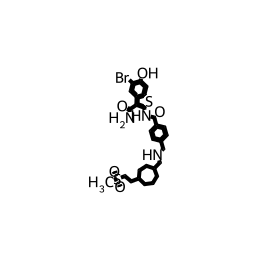 CS(=O)(=O)CCC1CCCC(CNCc2ccc(C(=O)Nc3sc4cc(O)c(Br)cc4c3C(N)=O)cc2)CC1